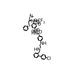 CN(C)C[C@H](CSc1ccccc1)Nc1ccc(S(=O)(=O)NC(=O)c2ccc(NCCNCc3ccccc3-c3ccc(Cl)cc3)cc2)cc1S(=O)(=O)C(F)(F)F